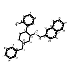 Fc1ccccc1C1CCN(Cc2ccccc2)CC1OCc1ccc2ccccc2c1